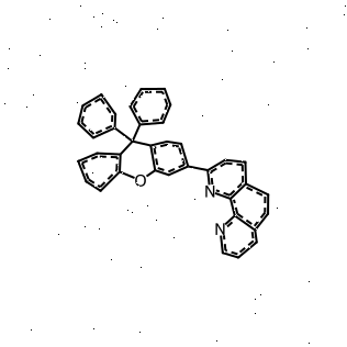 c1ccc(C2(c3ccccc3)c3ccccc3Oc3cc(-c4ccc5ccc6cccnc6c5n4)ccc32)cc1